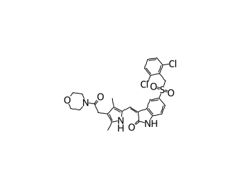 Cc1[nH]c(/C=C2\C(=O)Nc3ccc(S(=O)(=O)Cc4c(Cl)cccc4Cl)cc32)c(C)c1CC(=O)N1CCOCC1